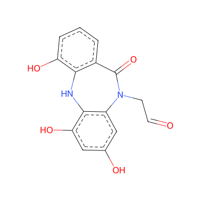 O=CCN1C(=O)c2cccc(O)c2Nc2c(O)cc(O)cc21